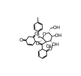 Cc1ccc(S[C@@]2(CC3C=CC(=O)CC3=O)O[C@H](CO)[C@@H](O)[C@H](O)[C@@]2(O)C(=O)C2C=CC=CC2=O)cc1